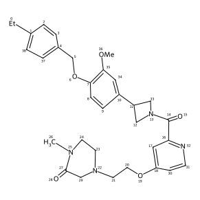 CCc1ccc(COc2ccc(C3CN(C(=O)c4cc(OCCN5CCN(C)C(=O)C5)ccn4)C3)cc2OC)cc1